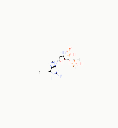 C=C1NC(N)=Nc2c1ncn2[C@H]1C[C@H](N[PH](=O)O)[C@@H](COP(=C)(C)O)O1